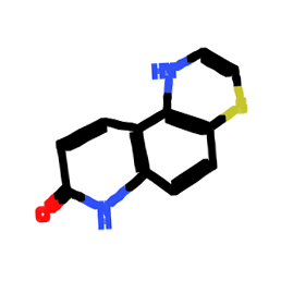 O=c1ccc2c3c(ccc2[nH]1)SC=CN3